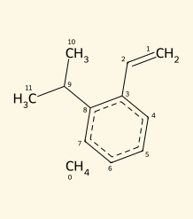 C.C=Cc1ccccc1C(C)C